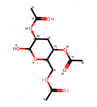 CC(=O)OCC1OC(O)[C@@H](OC(C)=O)CC1OC(C)=O